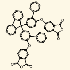 O=C1OC(=O)c2cc(Oc3ccc(C4(c5ccc(Oc6ccc7c(c6)C(=O)OC7=O)c(-c6ccccc6)c5)c5ccccc5-c5ccccc54)cc3-c3ccccc3)ccc21